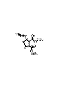 CC(C)(C)OC(=O)[C@@H]1[C@H](N=[N+]=[N-])CCN1C(=O)OC(C)(C)C